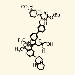 CO[C@@H](C)c1ncc(N2CCN3CCCC[C@@H]3C2)cc1-c1c(CC(C)(C)CO)c2cc(-c3cccc(C[C@H](NC(=O)OC(C)(C)C)C(=O)N4CCC[C@@H](C(=O)O)N4)c3)ccc2n1CC(F)(F)F